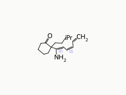 C=C/C=C\C=C(/N)C1(CCC(C)C)CCCCC1=O